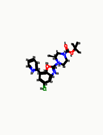 C[C@H]1CN(C(=O)OC(C)(C)C)CCN1c1nc2cc(Cl)cc(-c3ccccn3)c2o1